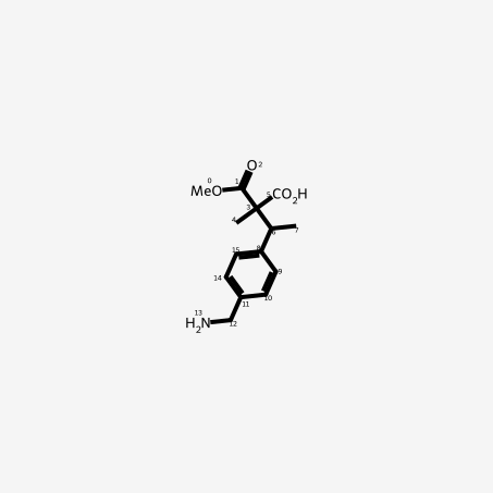 COC(=O)C(C)(C(=O)O)C(C)c1ccc(CN)cc1